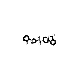 O=C1O[C@]2(CC[C@H](C(=O)N[C@H]3CCN(c4ccccc4F)C3)CC2)c2ccccc21